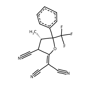 C[C@H]1C(C#N)C(=C(C#N)C#N)OC1(c1ccccc1)C(F)(F)F